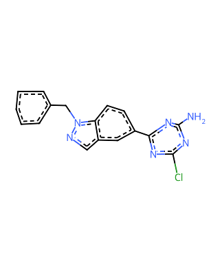 Nc1nc(Cl)nc(-c2ccc3c(cnn3Cc3ccccc3)c2)n1